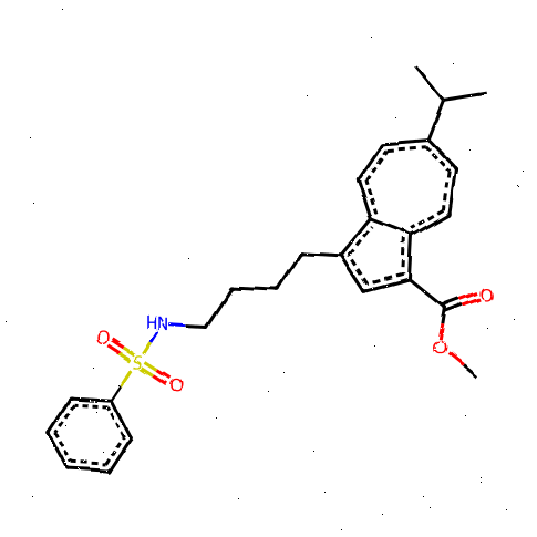 COC(=O)c1cc(CCCCNS(=O)(=O)c2ccccc2)c2ccc(C(C)C)ccc1-2